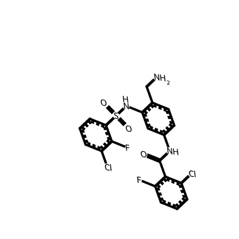 NCc1ccc(NC(=O)c2c(F)cccc2Cl)cc1NS(=O)(=O)c1cccc(Cl)c1F